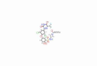 CNC(=O)N1CC(NS(=O)(=O)c2cc(Oc3c(Cl)cc(-n4nc(C(F)F)c(=O)[nH]c4=O)cc3Cl)ccc2O)C1